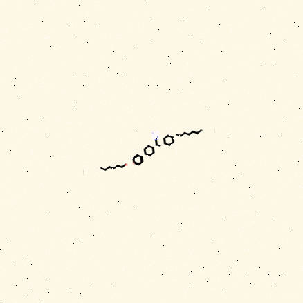 CCCCCCCCOc1ccc([C@H]2CC[C@H](C(C#N)C[C@H]3CC[C@H](CCCCCCCC)CC3)CC2)cc1